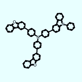 c1ccc(-n2c3ccccc3c3cc(-c4ccc(N(c5ccc(-c6ccc7oc8ccccc8c7c6)cc5)c5ccc(-c6ccc7oc8ccccc8c7c6)cc5)cc4)ccc32)cc1